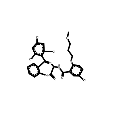 COCCCOc1ccc(Cl)cc1C(=O)NC1N=C(c2c(Cl)cc(Cl)cc2Cl)c2ccccc2NC1=O